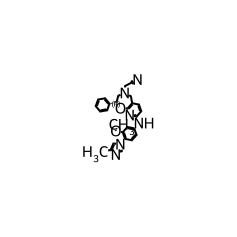 COc1cc(Nc2ccc3c(n2)O[C@H](c2ccccc2)CN(CC#N)C3)ccc1-n1cnc(C)c1